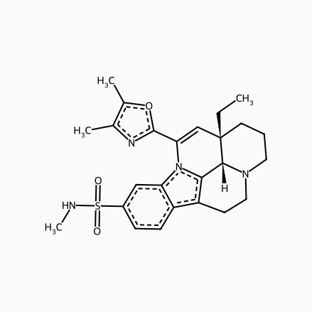 CC[C@@]12C=C(c3nc(C)c(C)o3)n3c4c(c5ccc(S(=O)(=O)NC)cc53)CCN(CCC1)[C@H]42